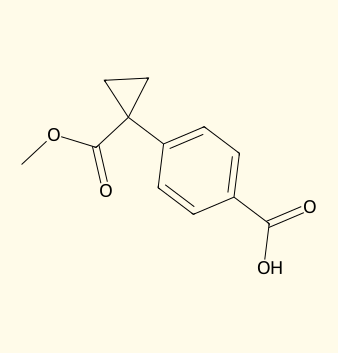 COC(=O)C1(c2ccc(C(=O)O)cc2)CC1